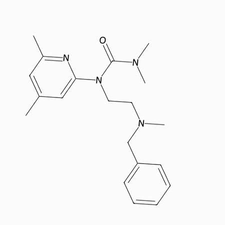 Cc1cc(C)nc(N(CCN(C)Cc2ccccc2)C(=O)N(C)C)c1